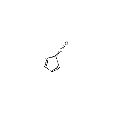 O=C=C1[C]=CC=C1